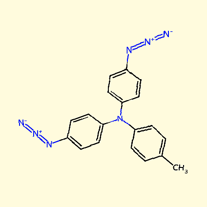 Cc1ccc(N(c2ccc(N=[N+]=[N-])cc2)c2ccc(N=[N+]=[N-])cc2)cc1